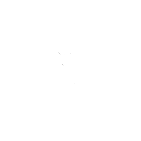 C=CC(=O)CCN[C@@H](C)C(=O)O